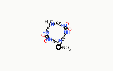 CN1CCCNc2c(c(=O)c2=O)NCCCN(Cc2ccccc2[N+](=O)[O-])CCCNc2c(c(=O)c2=O)NCCC1